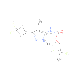 CC(C)c1c(C2CC(F)(F)C2)nn(C)c1NC(=O)OCC(C)(F)F